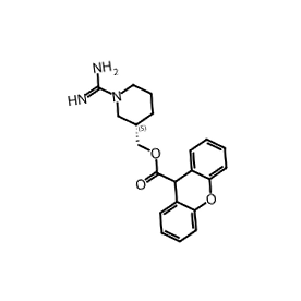 N=C(N)N1CCC[C@H](COC(=O)C2c3ccccc3Oc3ccccc32)C1